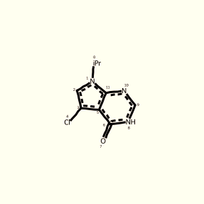 CC(C)n1cc(Cl)c2c(=O)[nH]cnc21